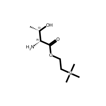 C[C@H](O)[C@@H](N)C(=O)OCC[Si](C)(C)C